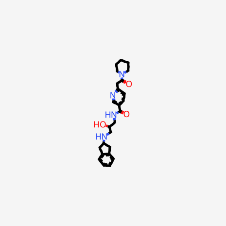 O=C(NCC(O)CNC1Cc2ccccc2C1)c1ccc(CC(=O)N2CCCCC2)nc1